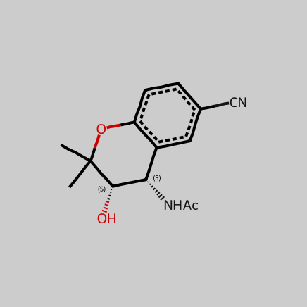 CC(=O)N[C@H]1c2cc(C#N)ccc2OC(C)(C)[C@H]1O